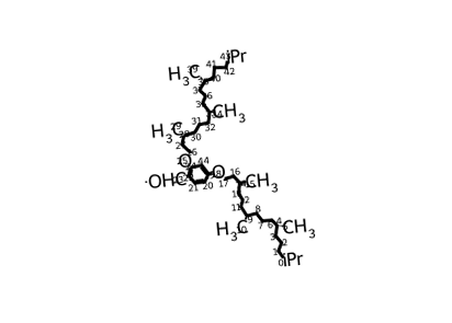 CC(C)CCC[C@@H](C)CCC[C@@H](C)CCCC(C)CCOc1ccc([C]=O)c(OCCC(C)CCC[C@H](C)CCC[C@H](C)CCCC(C)C)c1